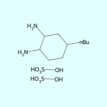 CCCCC1CCC(N)C(N)C1.O=S(=O)(O)O.O=S(=O)(O)O